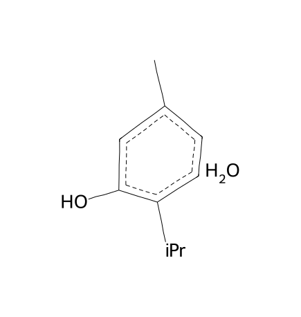 Cc1ccc(C(C)C)c(O)c1.O